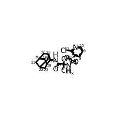 CC(C)(NS(=O)(=O)c1cccnc1Cl)C(=O)NC1C2CC3CC(C2)CC1C3